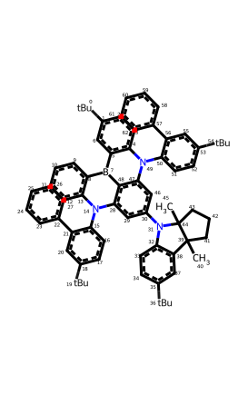 CC(C)(C)c1ccc2c(c1)B1c3ccccc3N(c3ccc(C(C)(C)C)cc3-c3ccccc3)c3cc(N4c5ccc(C(C)(C)C)cc5C5(C)CCCC45C)cc(c31)N2c1ccc(C(C)(C)C)cc1-c1ccccc1